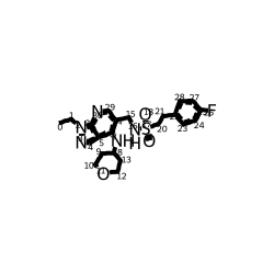 CCn1ncc2c(NC3CCOCC3)c(CNS(=O)(=O)CCc3ccc(F)cc3)cnc21